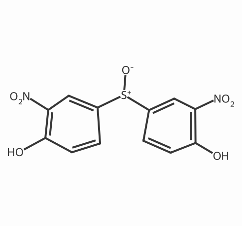 O=[N+]([O-])c1cc([S+]([O-])c2ccc(O)c([N+](=O)[O-])c2)ccc1O